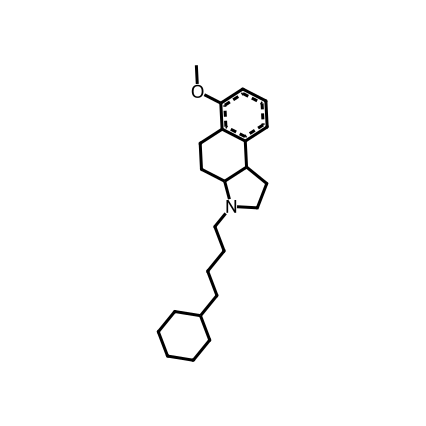 COc1cccc2c1CCC1C2CCN1CCCCC1CCCCC1